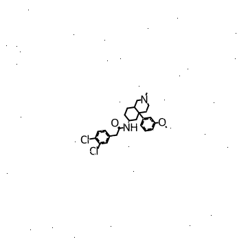 COc1cccc(C23CCN(C)CC2CC[C@@H](NC(=O)Cc2ccc(Cl)c(Cl)c2)C3)c1